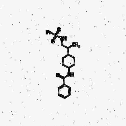 CC(CNS(=O)(=O)C(C)C)C1CCC(NC(=O)c2ccccc2)CC1